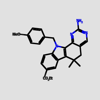 CCOC(=O)c1ccc2c(c1)c1c(n2Cc2ccc(OC)cc2)-c2nc(N)ncc2CC1(C)C